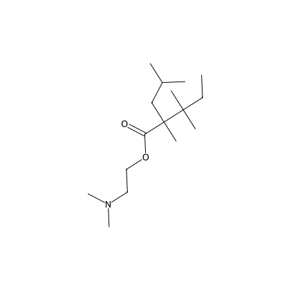 CCC(C)(C)C(C)(CC(C)C)C(=O)OCCN(C)C